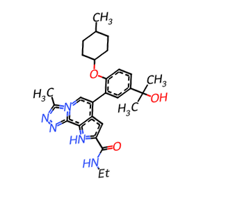 CCNC(=O)c1cc2c(-c3cc(C(C)(C)O)ccc3OC3CCC(C)CC3)cn3c(C)nnc3c2[nH]1